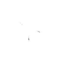 CC[C@H]1CNCC[C@H]1c1cccc2ccsc12.Cl